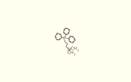 CN(C)CCC[P](c1ccccc1)(c1ccccc1)c1ccccc1